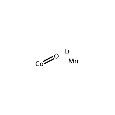 [Li].[Mn].[O]=[Co]